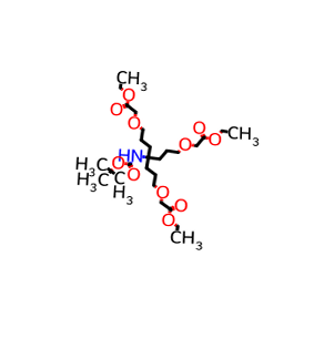 CCOC(=O)COCCCC(CCCOCC(=O)OCC)(CCCOCC(=O)OCC)NC(=O)OC(C)(C)C